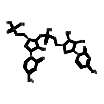 Nc1ccn([C@@H]2O[C@H](COP(=O)(O)O[C@H]3[C@@H](O)[C@H](n4ccc(N)nc4=O)O[C@@H]3COP(=O)(O)O)[C@@H](O)[C@H]2O)c(=O)n1